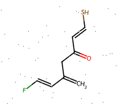 C=C(/C=C/F)CC(=O)/C=C/S